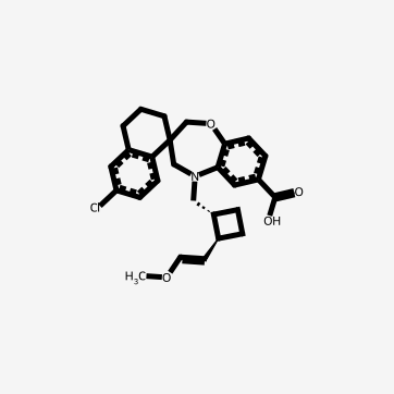 CO/C=C/[C@@H]1CC[C@H]1CN1CC2(CCCc3cc(Cl)ccc32)COc2ccc(C(=O)O)cc21